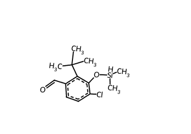 C[SiH](C)Oc1c(Cl)ccc(C=O)c1C(C)(C)C